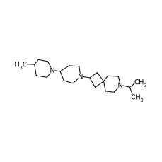 CC1CCN(C2CCN(C3CC4(CCN(C(C)C)CC4)C3)CC2)CC1